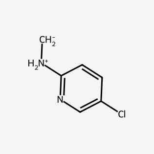 [CH2-][NH2+]c1ccc(Cl)cn1